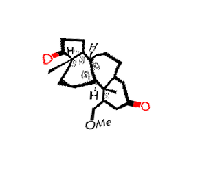 COCC1CC(=O)CC2CC[C@@H]3[C@H](CC[C@]4(C)C(=O)CC[C@@H]34)[C@]21C